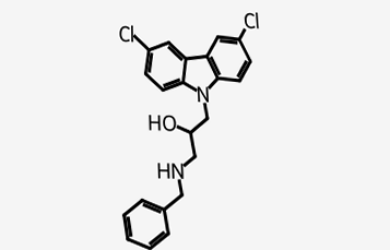 OC(CNCc1ccccc1)Cn1c2ccc(Cl)cc2c2cc(Cl)ccc21